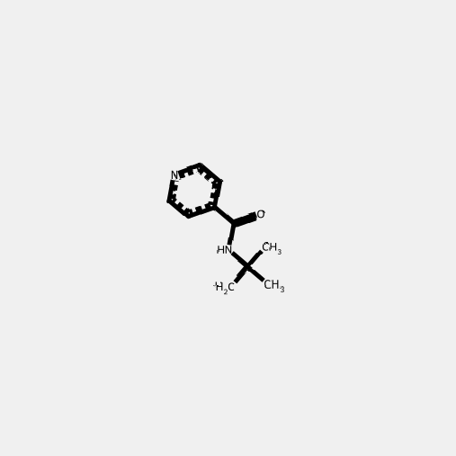 [CH2]C(C)(C)NC(=O)c1ccncc1